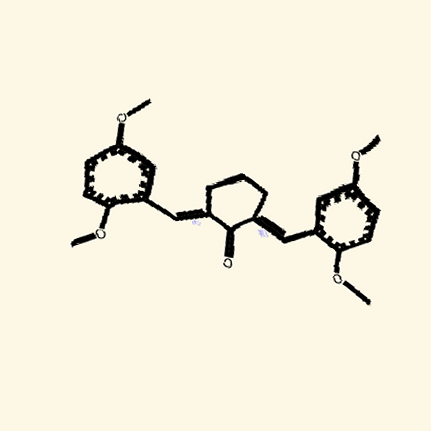 COc1ccc(OC)c(/C=C2\CCC/C(=C\c3cc(OC)ccc3OC)C2=O)c1